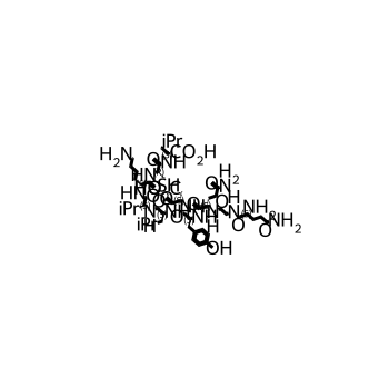 CC(C)C[C@H](NC(=O)[C@H](CS)NC(=O)[C@H](CCCCN)NC(=O)[C@@H](NC(=O)[C@H](CC(C)C)NC(=O)[C@H](CC(=O)O)NC(=O)[C@H](Cc1ccc(O)cc1)NC(=O)[C@H](CCC(N)=O)NC(=O)CNC(=O)[C@@H](N)CCC(N)=O)C(C)C)C(=O)O